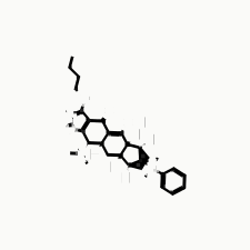 CCCCOc1noc2c1C(=O)C1=C(O)[C@H]3[C@@H](C[C@H]1[C@H]2N(C)C)[C@H]1C=C[C@@H]3C1[Si](C)(C)c1ccccc1